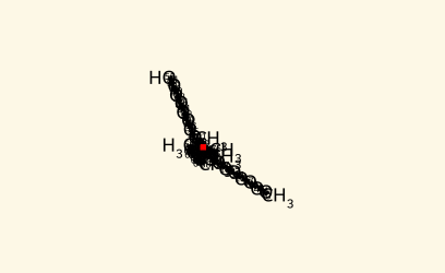 COCCOCCOCCOCCOCCOCCOCCOc1cc(C2(c3ccc(C)c(COCCOCCOCCOCCOCCOCCOCCO)c3)c3cc(C)ccc3-c3ccc(C)cc32)ccc1N(C)C